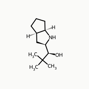 CC(C)(C)[C@H](O)[C@H]1C[C@H]2CCC[C@H]2N1